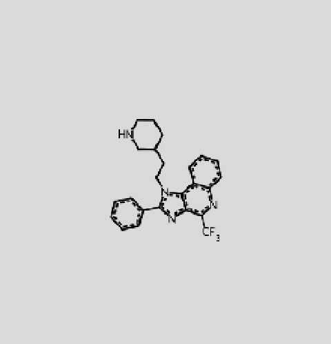 FC(F)(F)c1nc2ccccc2c2c1nc(-c1ccccc1)n2CCC1CCCNC1